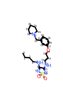 CCCCNC1=NS(=O)(=O)N=C1NCCCOc1cccc(CN2CCCCC2)c1